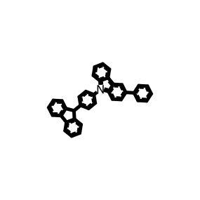 c1ccc(-c2ccc3c(c2)c2ccccc2n3-c2ccc(C3c4ccccc4-c4ccccc43)cc2)cc1